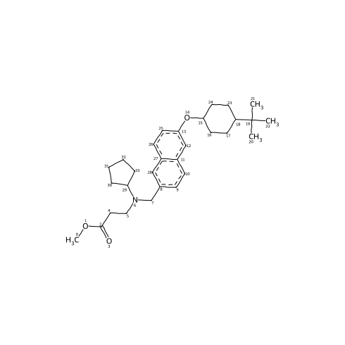 COC(=O)CCN(Cc1ccc2cc(OC3CCC(C(C)(C)C)CC3)ccc2c1)C1CCCC1